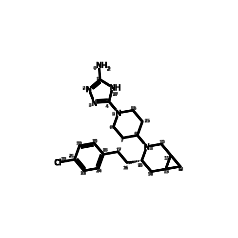 Nc1nnc(N2CCC(N3CC4CC4C[C@@H]3CCc3ccc(Cl)cc3)CC2)[nH]1